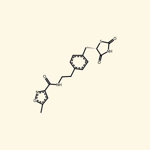 Cc1cc(C(=O)NCCc2ccc(C[C@@H]3SC(=O)NC3=O)cc2)no1